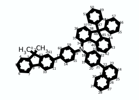 CC1(C)c2ccccc2-c2ccc(-c3ccc(N(c4ccc(-c5cccc6ccccc56)cc4)c4cccc5c4-c4ccccc4C5(c4ccccc4)c4ccccc4)cc3)cc21